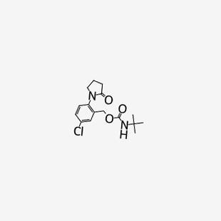 CC(C)(C)NC(=O)OCc1cc(Cl)ccc1N1CCCC1=O